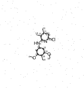 COc1cc(Nc2nc(Cl)nc(C)c2C)cc(OC)c1C